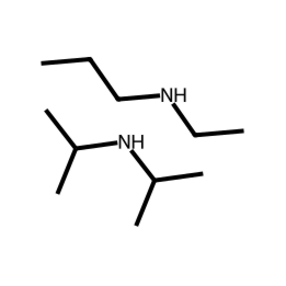 CC(C)NC(C)C.CCCNCC